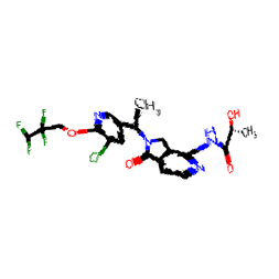 CC(c1cnc(OCC(F)(F)C(F)F)c(Cl)c1)N1Cc2c(ccnc2NC(=O)[C@@H](C)O)C1=O